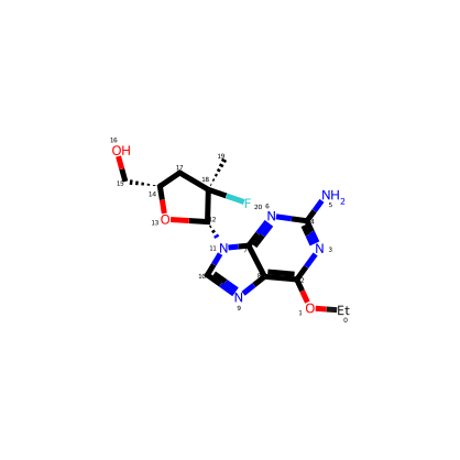 CCOc1nc(N)nc2c1ncn2[C@@H]1O[C@H](CO)C[C@@]1(C)F